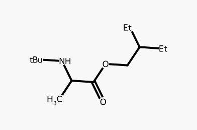 CCC(CC)COC(=O)C(C)NC(C)(C)C